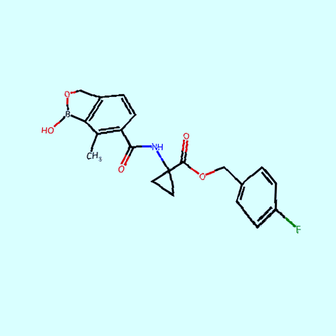 Cc1c(C(=O)NC2(C(=O)OCc3ccc(F)cc3)CC2)ccc2c1B(O)OC2